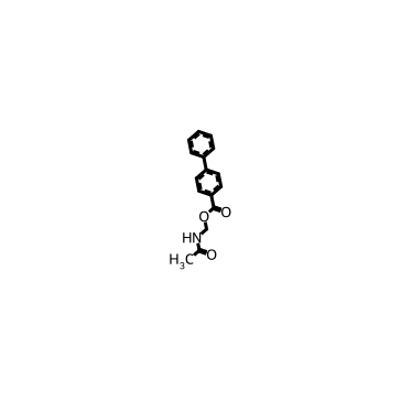 CC(=O)NCOC(=O)c1ccc(-c2ccccc2)cc1